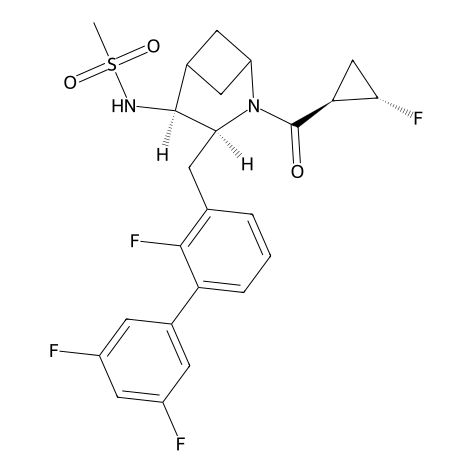 CS(=O)(=O)N[C@H]1C2CC(C2)N(C(=O)[C@H]2C[C@@H]2F)[C@H]1Cc1cccc(-c2cc(F)cc(F)c2)c1F